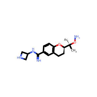 CC(=O)[C@@](C)(ON)[C@H]1CCc2cc(C(=N)NC3CNC3)ccc2O1